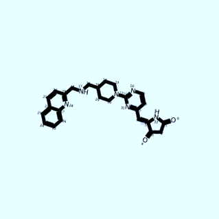 O=C1CC(=O)/C(=C/c2ccnc(N3CCC(CNCc4ccc5ccccc5n4)CC3)n2)N1